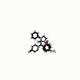 Cc1ccc(C(N2CCC(=O)CC2)P2(=O)N(c3ccccc3)CCN2c2ccccc2)c(Br)c1